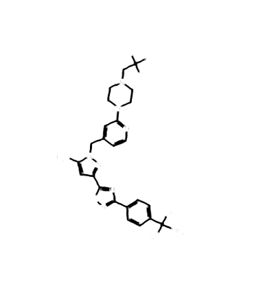 Cc1cc(-c2nc(-c3ccc(C(C)(C)C)cc3)no2)nn1Cc1ccnc(N2CCN(CC(F)(F)F)CC2)c1